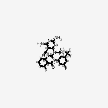 CCN(c1nc(N)nc(N)c1C#N)c1nc2cccc(F)c2c(=O)n1-c1cc(F)cc(C(F)(F)F)c1